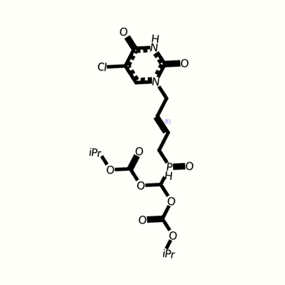 CC(C)OC(=O)OC(OC(=O)OC(C)C)[PH](=O)C/C=C/Cn1cc(Cl)c(=O)[nH]c1=O